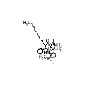 CCCCCCCCCCCC(C(=O)ONN)C(C(=O)Nc1c(C(C)C)cccc1C(C)C)c1ccccc1